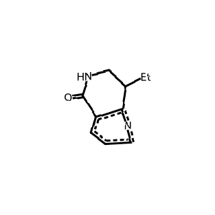 CCC1CNC(=O)c2cccnc21